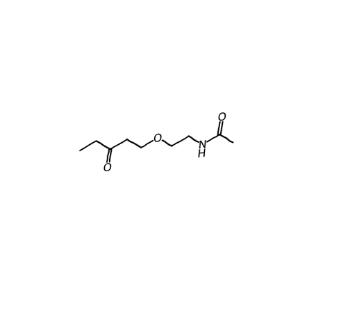 CCC(=O)CCOCCNC(C)=O